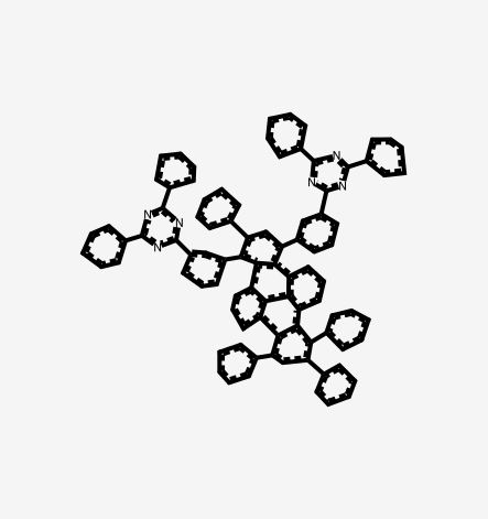 c1ccc(-c2nc(-c3ccccc3)nc(-c3cccc(-c4cc(-c5ccccc5)c(-c5cccc(-c6nc(-c7ccccc7)nc(-c7ccccc7)n6)c5)c5c6cccc7c8c(-c9ccccc9)cc(-c9ccccc9)c(-c9ccccc9)c8c8cccc(c45)c8c76)c3)n2)cc1